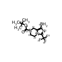 Bc1nc(C(F)(F)F)n2c1CN(C(=O)OC(C)(C)C)CC2